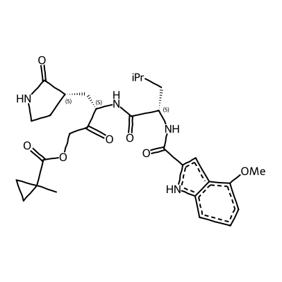 COc1cccc2[nH]c(C(=O)N[C@@H](CC(C)C)C(=O)N[C@@H](C[C@@H]3CCNC3=O)C(=O)COC(=O)C3(C)CC3)cc12